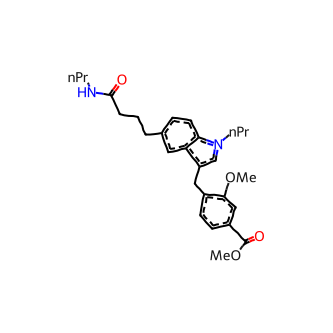 CCCNC(=O)CCCc1ccc2c(c1)c(Cc1ccc(C(=O)OC)cc1OC)cn2CCC